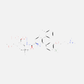 COCCC(C(=O)O)[C@H](NC(=O)c1ccc(-c2ccccc2C)c(-c2ccc(Cl)c(OCCCN(C)C)c2)n1)C(C)(C)C